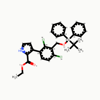 CCOC(=O)c1[nH]ccc1-c1ccc(Cl)c(CO[Si](c2ccccc2)(c2ccccc2)C(C)(C)C)c1Cl